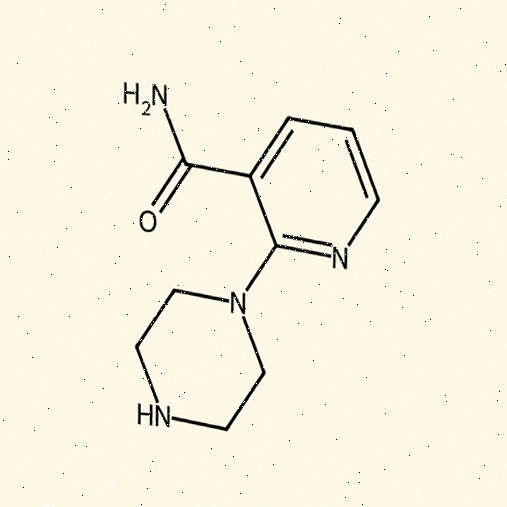 NC(=O)c1cccnc1N1CCNCC1